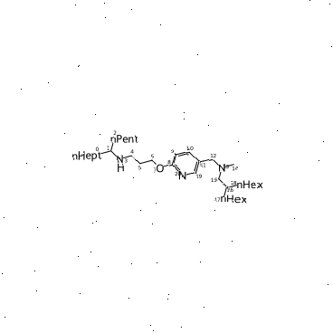 CCCCCCCC(CCCCC)NCCCOc1ccc(CN(C)CC(CCCCCC)CCCCCC)cn1